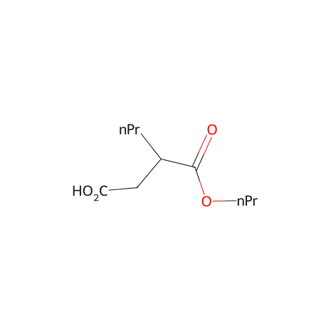 CCCOC(=O)C(CCC)CC(=O)O